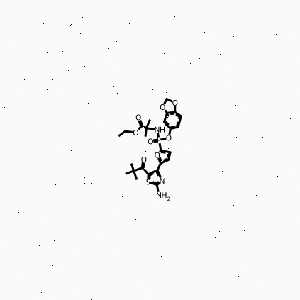 CCOC(=O)C(C)(C)NP(=O)(Oc1ccc2c(c1)OCO2)c1ccc(-c2nc(N)sc2C(=O)C(C)(C)C)o1